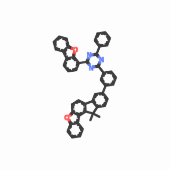 CC1(C)c2ccc(-c3cccc(-c4nc(-c5ccccc5)nc(-c5cccc6c5oc5ccccc56)n4)c3)cc2-c2ccc3oc4ccccc4c3c21